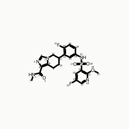 CNC(=O)c1ncn2c1CCC(c1cc(NS(=O)(=O)c3cc(F)cnc3OC)ccc1F)C2